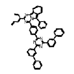 C=C/C=C(\C=C)c1nc(-c2ccc(-c3nc(-c4cccc(-c5ccccc5)c4)nc(-c4cccc(-c5ccccc5)c4)n3)cc2)n2c(-c3ccccc3)c3ccccc3c2n1